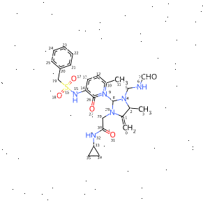 C=C1C(C)N(CNC=O)C(n2c(C)ccc(NS(=O)(=O)Cc3ccccc3)c2=O)N1CC(=O)NC1CC1